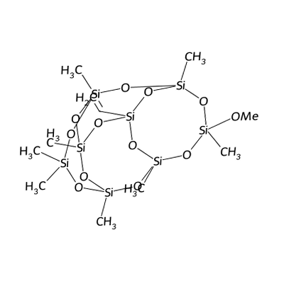 C=C[Si]12O[Si]3(C)O[Si](C)(OC)O[Si](C)(O[Si]4(C)O[Si](C)(C)O[Si](C)(O3)O[Si](C)(O4)O1)O2